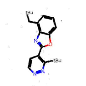 CC(C)(C)Cc1cccc2oc(-c3ccnnc3C(C)(C)C)nc12